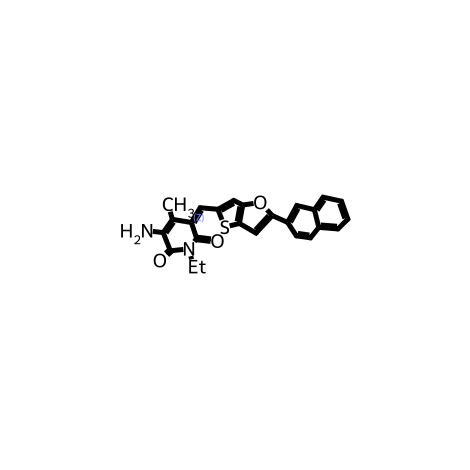 CCN1C(=O)C(N)=C(C)/C(=C/c2cc3oc(-c4ccc5ccccc5c4)cc3s2)C1=O